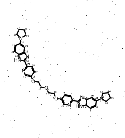 C1=CC2NC(c3ccc(OCCOCCOc4ccc(-c5nc6cc(N7CCCC7)ccc6[nH]5)nc4)cn3)=NC2C=C1N1CCCC1